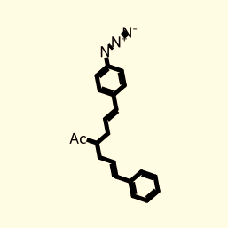 CC(=O)C(CC=Cc1ccccc1)CC=Cc1ccc(N=[N+]=[N-])cc1